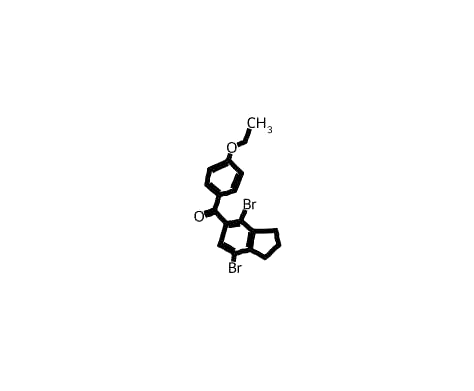 CCOc1ccc(C(=O)c2cc(Br)c3c(c2Br)CCC3)cc1